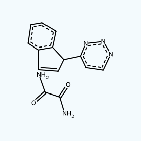 C1=CC(c2ccnnn2)c2ccccc21.NC(=O)C(N)=O